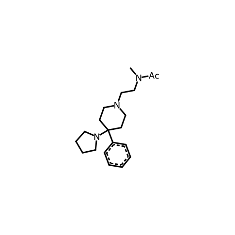 CC(=O)N(C)CCN1CCC(c2ccccc2)(N2CCCC2)CC1